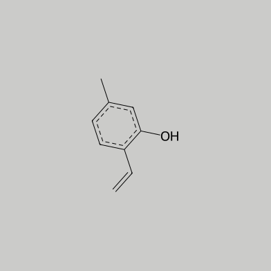 C=Cc1ccc(C)cc1O